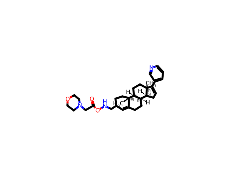 C[C@]12CCC(CNOC(=O)CN3CCOCC3)C=C1CC[C@H]1[C@@H]2CC[C@]2(C)C(c3cccnc3)=CC[C@@H]12